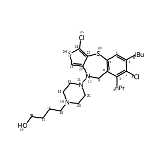 CCCc1c(Cl)c(C(C)CC)cc2c1CN(N1CCN(CCCCO)CC1)c1csc(Cl)c1S2